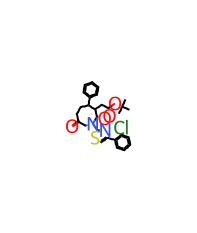 CC(C)(C)OC(=O)CC1C(=O)N(c2nc(-c3ccccc3Cl)cs2)CC(=O)CCC1c1ccccc1